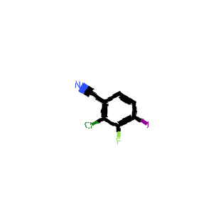 N#Cc1ccc(I)c(F)c1Cl